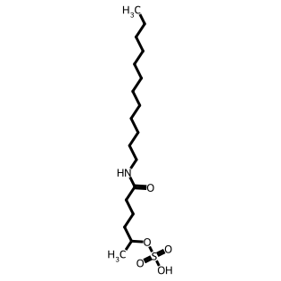 CCCCCCCCCCCCNC(=O)CCCC(C)OS(=O)(=O)O